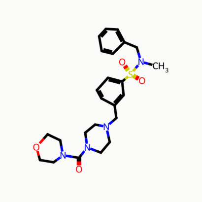 CN(Cc1ccccc1)S(=O)(=O)c1cccc(CN2CCN(C(=O)N3CCOCC3)CC2)c1